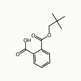 CC(C)(C)COC(=O)c1ccccc1C(=O)O